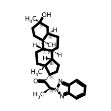 C[C@@H](C(=O)[C@H]1CC[C@H]2[C@@H]3CC[C@@H]4C[C@](C)(O)CC[C@]4(C)[C@H]3CC[C@]12C)n1nc2ccccc2n1